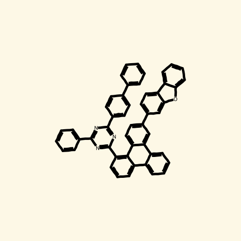 c1ccc(-c2ccc(-c3nc(-c4ccccc4)nc(-c4cccc5c6ccccc6c6cc(-c7ccc8c(c7)oc7ccccc78)ccc6c45)n3)cc2)cc1